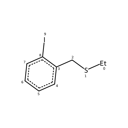 CCSCc1ccccc1I